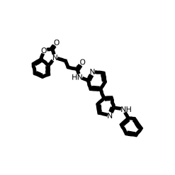 O=C(CCn1c(=O)oc2ccccc21)Nc1cc(-c2ccnc(Nc3ccccc3)c2)ccn1